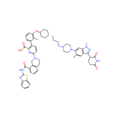 Cc1cc2c(C3CCC(=O)NC3=O)nn(C)c2cc1N1CCN(CCCC[C@H]2CC[C@H](Oc3cccc(-c4ccc(N5CCc6cccc(C(=O)Nc7nc8ccccc8s7)c6C5)nc4C(=O)O)c3C)CC2)CC1